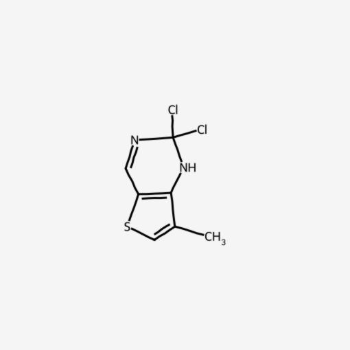 Cc1csc2c1NC(Cl)(Cl)N=C2